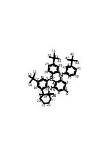 Cc1cc2c3c(c1)N1c4c(cc(C(C)(C)C)cc4C4(C)CCCCC14C)B3c1ccc(C(C)(C)C)cc1N2c1cccc(C(C)(C)C)c1